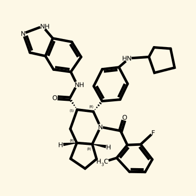 Cc1cccc(F)c1C(=O)N1[C@@H]2CCC[C@@H]2C[C@H](C(=O)Nc2ccc3[nH]ncc3c2)[C@@H]1c1ccc(NC2CCCC2)cc1